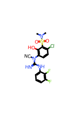 CN(C)S(=O)(=O)c1c(Cl)ccc(N(C#N)C(=N)Nc2cccc(F)c2F)c1O